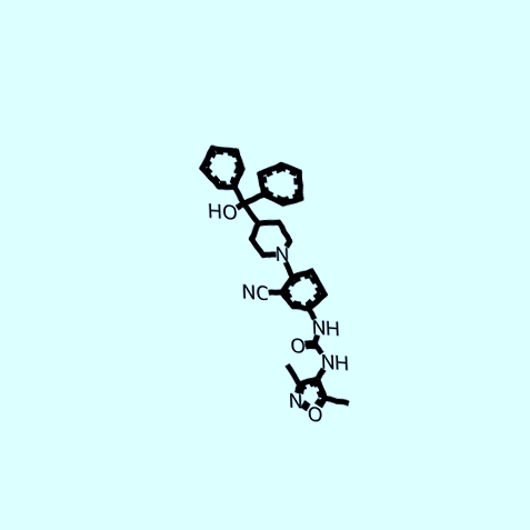 Cc1noc(C)c1NC(=O)Nc1ccc(N2CCC(C(O)(c3ccccc3)c3ccccc3)CC2)c(C#N)c1